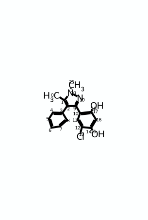 Cc1c(-c2ccccc2)c(-c2cc(Cl)c(O)cc2O)nn1C